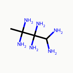 CC(N)(N)C(N)(N)C(N)N